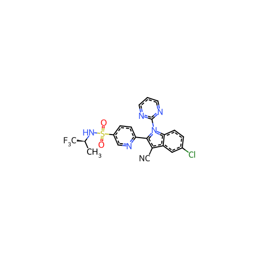 C[C@H](NS(=O)(=O)c1ccc(-c2c(C#N)c3cc(Cl)ccc3n2-c2ncccn2)nc1)C(F)(F)F